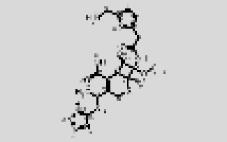 CO[C@@]1(NC(=O)Cc2ccc(CN)s2)C(=O)N2C(C(=O)O)=C(C(C)Sc3nnn[nH]3)CS[C@H]21